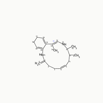 C=C1CCC=CCC(C)C(C)N/C=C(\C)C2=CCCC=C2N1